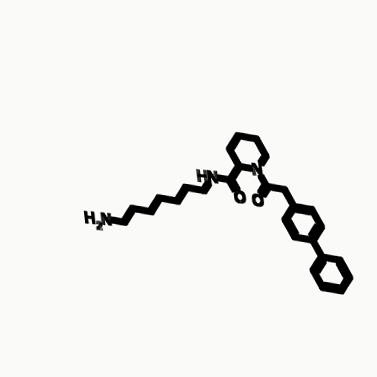 NCCCCCCCNC(=O)C1CCCCN1C(=O)Cc1ccc(-c2ccccc2)cc1